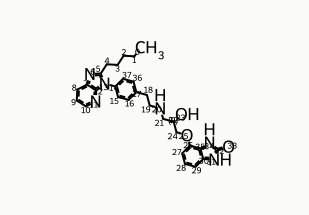 CCCCCc1nc2cccnc2n1-c1ccc(CCNC[C@@H](O)COc2cccc3[nH]c(=O)[nH]c23)cc1